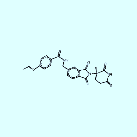 C=C(NCc1ccc2c(c1)C(=O)N([C@@]1(C)CCC(=O)NC1=O)C2=O)c1ccc(OCC)cc1